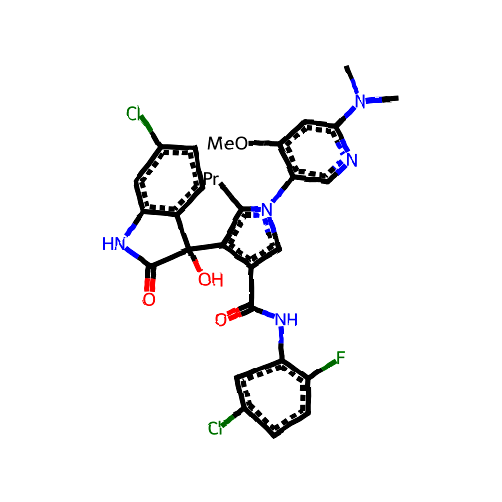 COc1cc(N(C)C)ncc1-n1cc(C(=O)Nc2cc(Cl)ccc2F)c(C2(O)C(=O)Nc3cc(Cl)ccc32)c1C(C)C